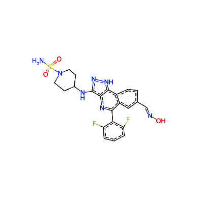 NS(=O)(=O)N1CCC(Nc2n[nH]c3c2nc(-c2c(F)cccc2F)c2cc(C=NO)ccc23)CC1